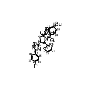 CC(C)C[C@@]1(C(=O)O)C[C@H](c2nc(-c3ccc(F)cc3)no2)[C@H](c2nccs2)N1C(=O)c1ccc(C(C)(C)C)cc1